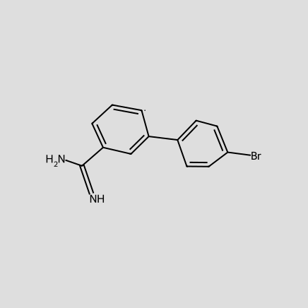 N=C(N)c1cc[c]c(-c2ccc(Br)cc2)c1